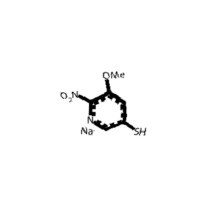 COc1cc(S)cnc1[N+](=O)[O-].[Na]